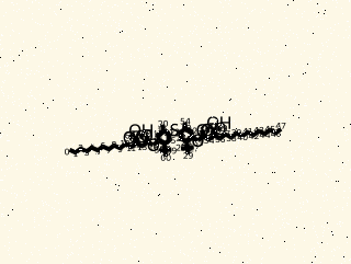 CCCCCCCCCCCCC(CC(=O)Oc1cc(C)c(Sc2cc(C(C)(C)C)c(OC(=O)CC(CCCCCCCCCCCC)S(=O)(=O)O)cc2C)cc1C(C)(C)C)S(=O)(=O)O